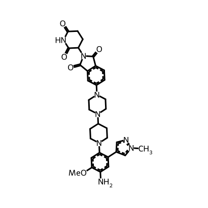 COc1cc(N2CCC(N3CCN(c4ccc5c(c4)C(=O)N(C4CCC(=O)NC4=O)C5=O)CC3)CC2)c(-c2cnn(C)c2)cc1N